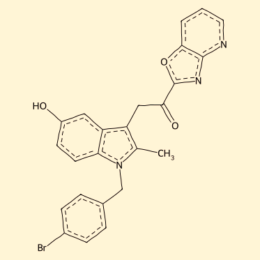 Cc1c(CC(=O)c2nc3ncccc3o2)c2cc(O)ccc2n1Cc1ccc(Br)cc1